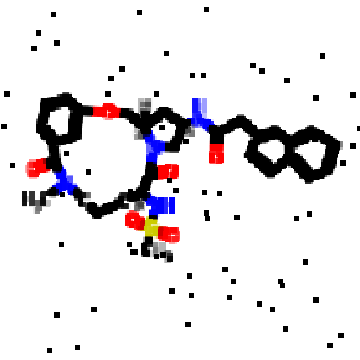 CN1CCC[C@H](NS(C)(=O)=O)C(=O)N2C[C@@H](NC(=O)Cc3ccc4ccccc4c3)C[C@H]2COc2cccc(c2)C1=O